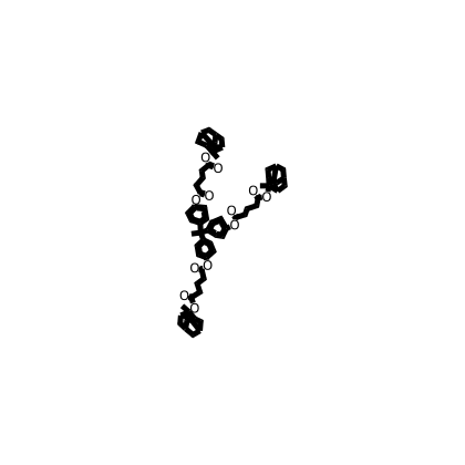 CC(c1ccc(OC(=O)CCCC(=O)OC2(C)C3CC4CC(C3)CC2C4)cc1)(c1ccc(OC(=O)CCCC(=O)OC2(C)C3CC4CC(C3)CC2C4)cc1)c1ccc(OC(=O)CCCC(=O)OC2(C)C3CC4CC(C3)CC2C4)cc1